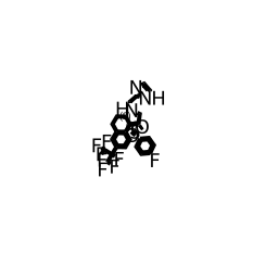 O=S(=O)(c1ccc(F)cc1)[C@]12CCN(Cc3ncc[nH]3)[C@H]1CCc1cc(C(F)(C(F)(F)F)C(F)(F)F)ccc12